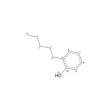 [CH2]CCCCc1ccccc1O